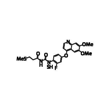 COc1cc2nccc(Oc3ccc(N(S)C(=O)NC(=O)CCSC)c(F)c3)c2cc1OC